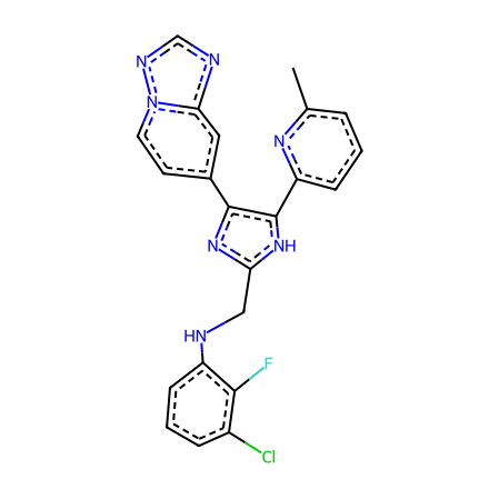 Cc1cccc(-c2[nH]c(CNc3cccc(Cl)c3F)nc2-c2ccn3ncnc3c2)n1